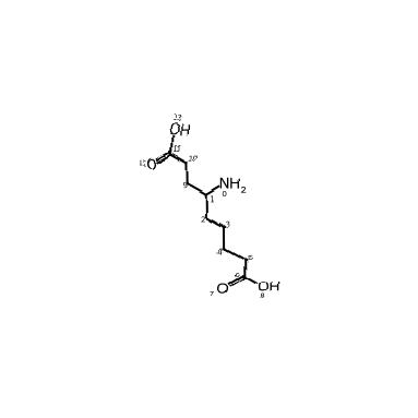 NC(CCCCC(=O)O)CCC(=O)O